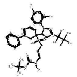 CN(CCCS(=O)(=O)C1(C2CC(C(F)(F)C(F)(F)F)=NN2c2ccc(F)cc2F)C=CC=C(c2ccccc2)C1)C(=O)OC(C)(C)C